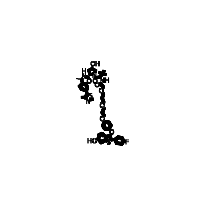 Cc1ncsc1-c1ccc([C@H](C)NC(=O)[C@@H]2C[C@@H](O)CN2C(=O)[C@@H](NC(=O)COCCCOCCCOc2ccc(Oc3c(-c4ccc(F)cc4)sc4cc(O)ccc34)cc2)C(C)(C)C)cc1